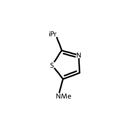 CNc1cnc(C(C)C)s1